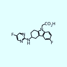 O=C(O)Cn1c2c(c3cc(F)ccc31)CC(Nc1ncc(F)cn1)CC2